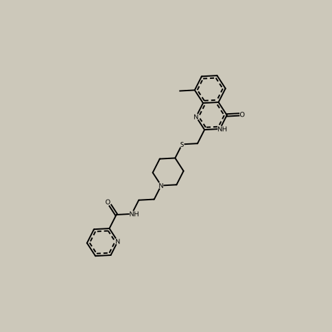 Cc1cccc2c(=O)[nH]c(CSC3CCN(CCNC(=O)c4ccccn4)CC3)nc12